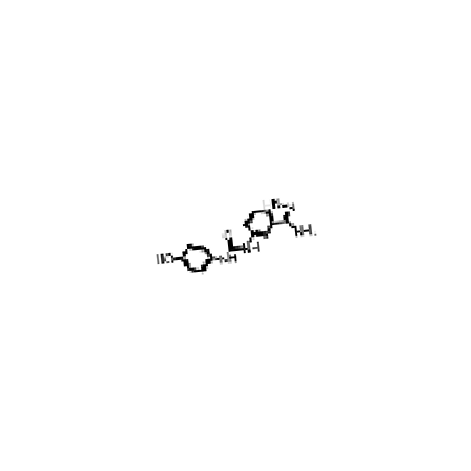 Nc1n[nH]c2ccc(NC(=O)Nc3ccc(O)cc3)cc12